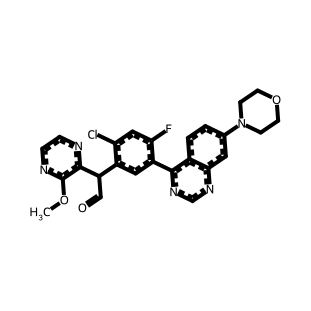 COc1nccnc1C(C=O)c1cc(-c2ncnc3cc(N4CCOCC4)ccc23)c(F)cc1Cl